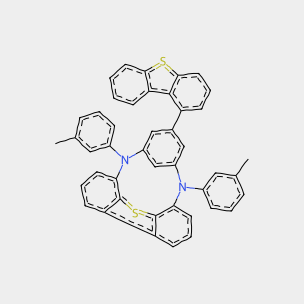 Cc1cccc(N2c3cc(-c4cccc5sc6ccccc6c45)cc(c3)N(c3cccc(C)c3)c3cccc4c3sc3c2cccc34)c1